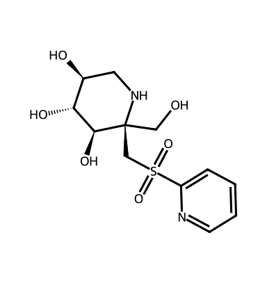 O=S(=O)(C[C@]1(CO)NC[C@H](O)[C@@H](O)[C@@H]1O)c1ccccn1